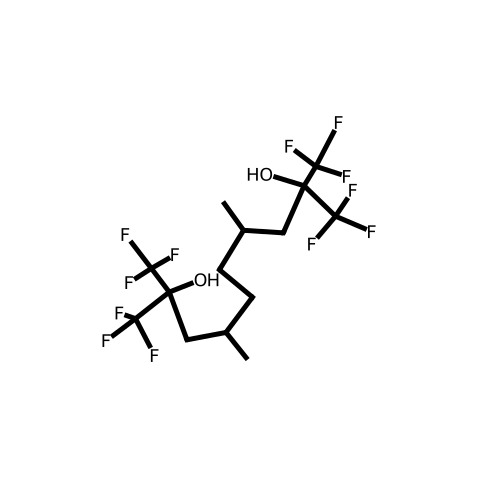 CC(CCC(C)CC(O)(C(F)(F)F)C(F)(F)F)CC(O)(C(F)(F)F)C(F)(F)F